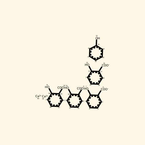 O=C([O-])c1ccccc1O.O=C([O-])c1ccccc1O.O=C([O-])c1ccccc1O.O=C([O-])c1ccccc1O.Oc1ccccc1.[Ca+2].[Ca+2]